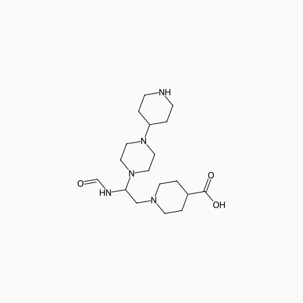 O=CNC(CN1CCC(C(=O)O)CC1)N1CCN(C2CCNCC2)CC1